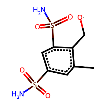 Cc1cc(S(N)(=O)=O)cc(S(N)(=O)=O)c1C[O]